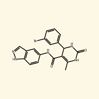 CC1=C(C(=O)Nc2ccc3[nH]ncc3c2)C(c2cccc(Br)c2)NC(=O)N1